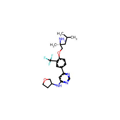 CC(C)C[C@](C)(N)COc1ccc(-c2cc(NC3CCOC3)ncn2)cc1C(F)(F)F